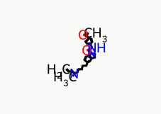 C=CCN(C)CCCCCc1ccc2c(c1)CCN2C(=O)Nc1ccc(C(C)=O)cc1